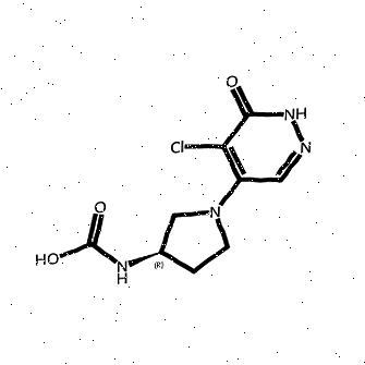 O=C(O)N[C@@H]1CCN(c2cn[nH]c(=O)c2Cl)C1